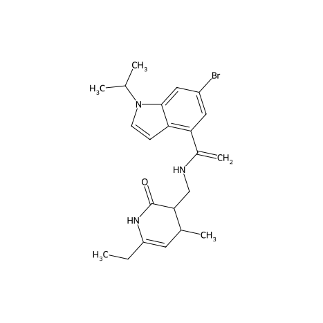 C=C(NCC1C(=O)NC(CC)=CC1C)c1cc(Br)cc2c1ccn2C(C)C